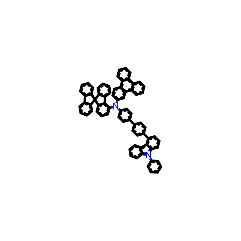 c1ccc(-n2c3ccccc3c3c(-c4ccc(-c5ccc(N(c6ccc7c8ccccc8c8ccccc8c7c6)c6cccc7c6-c6ccccc6C76c7ccccc7-c7ccccc76)cc5)cc4)cccc32)cc1